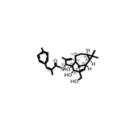 CC1=C[C@]23C(=O)[C@@H](C=C(CO)[C@@H](O)[C@]2(O)[C@H]1OC(=O)/C(C)=C\c1ccc(C)cc1)[C@H]1[C@@H](C[C@H]3C)C1(C)C